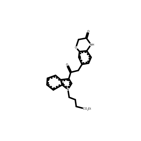 CCOC(=O)CCCn1cc(C(=O)Cc2ccc3c(c2)OCC(=O)N3)c2ccccc21